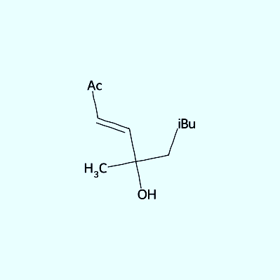 CCC(C)CC(C)(O)C=CC(C)=O